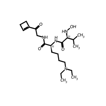 CCN(CC)CCCC[C@H](NC(=O)[C@@H](NO)C(C)C)C(=O)NCC(=O)C1=CCC1